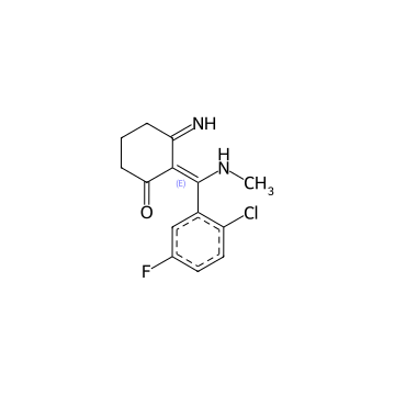 CN/C(=C1\C(=N)CCCC1=O)c1cc(F)ccc1Cl